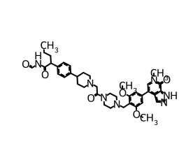 CCCC(C(=O)NC=O)c1ccc(C2CCN(CC(=O)N3CCN(Cc4c(OC)cc(-c5cn(C)c(=O)c6[nH]ncc56)cc4OC)CC3)CC2)cc1